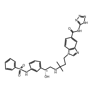 CC(C)(CCn1cnc2cc(C(=O)Nc3nnn[nH]3)ccc21)NC[C@H](O)c1cccc(NS(=O)(=O)c2ccccc2)c1